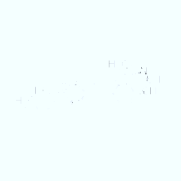 C=CC1CCc2cc(CCc3ccc(C)c(/C(C)=N\C)c3)ccc2C1C